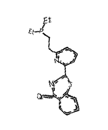 CCP(CC)CCc1cccc(-c2nc(=O)c3ccccc3s2)n1